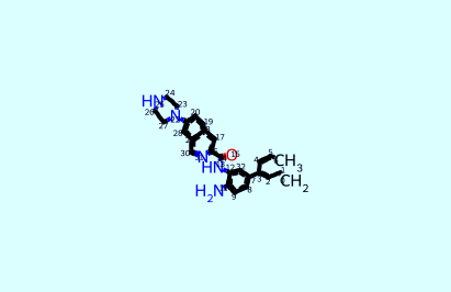 C=C/C=C(\C=C/C)c1ccc(N)c(NC(=O)c2cc3ccc(N4CCNCC4)cc3cn2)c1